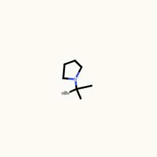 CCCCC(C)(C)N1CCCC1